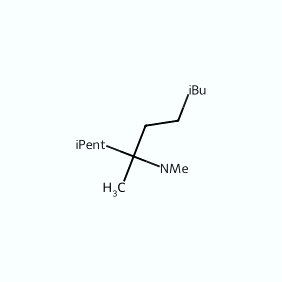 CCCC(C)C(C)(CCC(C)CC)NC